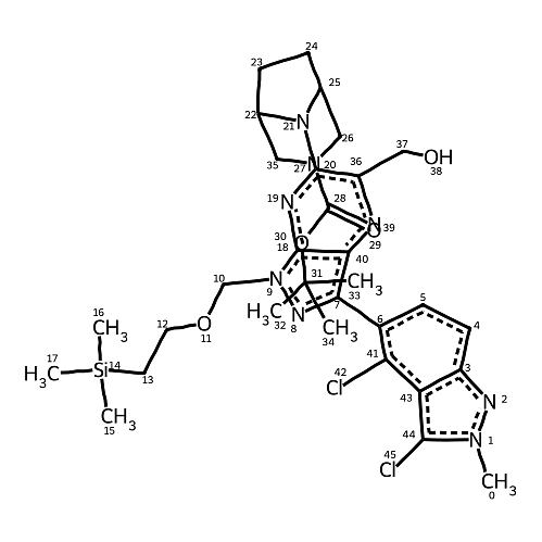 Cn1nc2ccc(-c3nn(COCC[Si](C)(C)C)c4nc(N5C6CCC5CN(C(=O)OC(C)(C)C)C6)c(CO)nc34)c(Cl)c2c1Cl